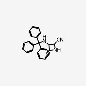 N#CC1NC(=O)[C@@H]1NC(c1ccccc1)(c1ccccc1)c1ccccc1